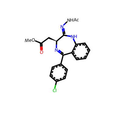 COC(=O)C[C@@H]1N=C(c2ccc(Cl)cc2)c2ccccc2N/C1=N\NC(C)=O